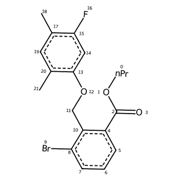 CCCOC(=O)c1cccc(Br)c1COc1cc(F)c(C)cc1C